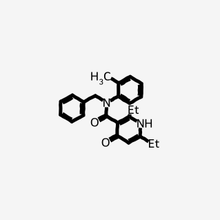 CCc1cc(=O)c(C(=O)N(Cc2ccccc2)c2ccccc2C)c(CC)[nH]1